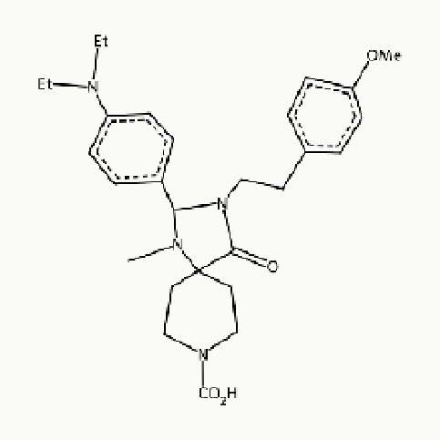 CCN(CC)c1ccc(C2N(CCc3ccc(OC)cc3)C(=O)C3(CCN(C(=O)O)CC3)N2C)cc1